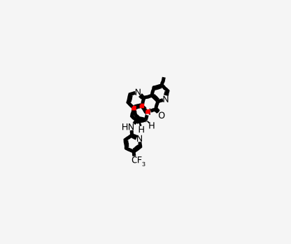 Cc1cnc(C(=O)N2CC3CC[C@H]2[C@H](Nc2ccc(C(F)(F)F)cn2)C3)c(-c2ncccc2C)c1